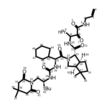 C=CCNC(=O)C(=O)C(CCC)NC(=O)[C@@H]1[C@H]2CCC(C)(C)[C@H]2CN1C(=O)[C@@H](NC(=O)N[C@H](CN1C(=O)CC(C)(C)CC1=O)C(C)(C)C)C1CCCCC1